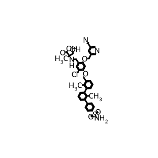 Cc1c(COc2cc(OCc3cncc(C#N)c3)c(CNC(C)(CO)C(=O)O)cc2Cl)cccc1-c1cccc(-c2ccc(S(N)(=O)=O)cc2)c1C